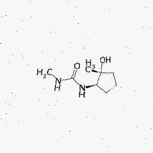 CNC(=O)N[C@@H]1CCC[C@@]1(C)O